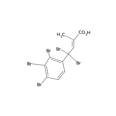 CC(=CC(Br)(Br)c1ccc(Br)c(Br)c1Br)C(=O)O